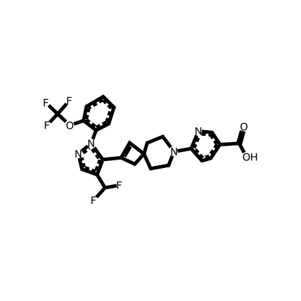 O=C(O)c1ccc(N2CCC3(C=C(c4c(C(F)F)cnn4-c4ccccc4OC(F)(F)F)C3)CC2)nc1